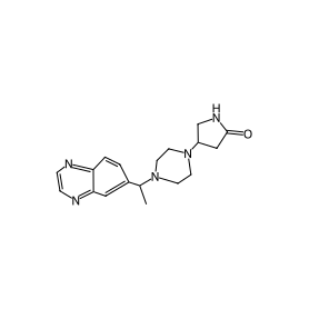 CC(c1ccc2nccnc2c1)N1CCN(C2CNC(=O)C2)CC1